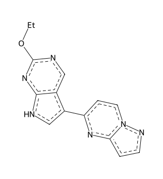 CCOc1ncc2c(-c3ccn4nccc4n3)c[nH]c2n1